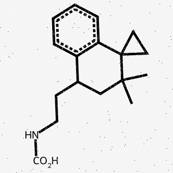 CC1(C)CC(CCNC(=O)O)c2ccccc2C12CC2